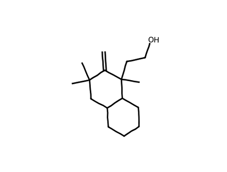 C=C1C(C)(C)CC2CCCCC2C1(C)CCO